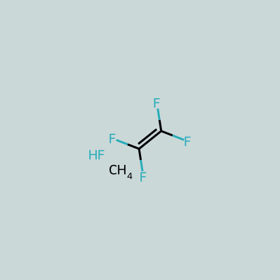 C.F.FC(F)=C(F)F